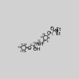 CCN(CC)C(=O)COc1ccc(CCNCC(O)COc2ccccc2)cc1